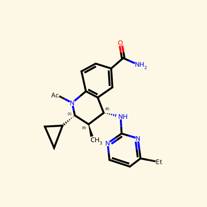 CCc1ccnc(N[C@H]2c3cc(C(N)=O)ccc3N(C(C)=O)[C@@H](C3CC3)[C@@H]2C)n1